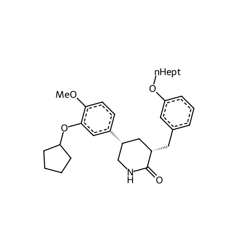 CCCCCCCOc1cccc(C[C@H]2C[C@@H](c3ccc(OC)c(OC4CCCC4)c3)CNC2=O)c1